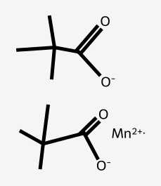 CC(C)(C)C(=O)[O-].CC(C)(C)C(=O)[O-].[Mn+2]